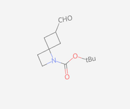 CC(C)(C)OC(=O)N1CCC12CC(C=O)C2